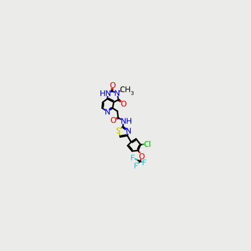 Cn1c(=O)[nH]c2ccnc(CC(=O)Nc3nc(-c4ccc(OC(F)(F)F)c(Cl)c4)cs3)c2c1=O